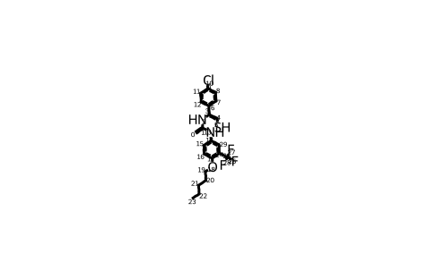 C=C(N/C(=C\S)c1ccc(Cl)cc1)Nc1ccc(OCCCCC)c(C(F)(F)F)c1